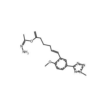 C=C(CCC/C=C/c1cc(-c2nnn(C)n2)ccc1OC)O/C(C)=N\N